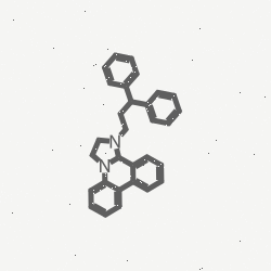 c1ccc(C(CCN2CCN3c4ccccc4-c4ccccc4C23)c2ccccc2)cc1